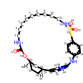 O=C1NCCCCCCCCCNS(=O)(=O)c2ccc(cc2)Nc2ncc(cn2)[C@H]2CC[C@H](C2)O1